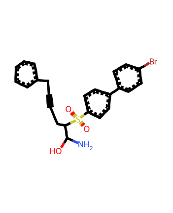 NC(O)C(CC#CCc1ccccc1)S(=O)(=O)c1ccc(-c2ccc(Br)cc2)cc1